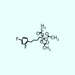 CC(=O)O[Si](CCCCc1ccc(F)cc1F)(OC(C)=O)OC(C)=O